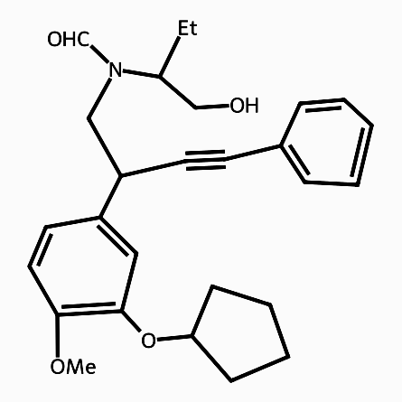 CCC(CO)N(C=O)CC(C#Cc1ccccc1)c1ccc(OC)c(OC2CCCC2)c1